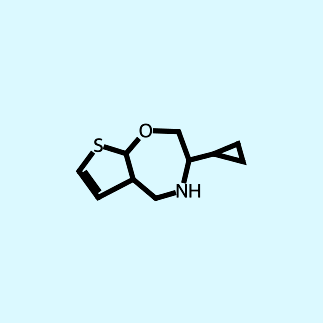 C1=CC2CNC(C3CC3)COC2S1